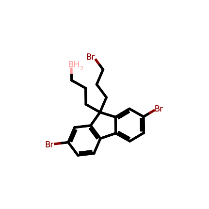 BCCCC1(CCCBr)c2cc(Br)ccc2-c2ccc(Br)cc21